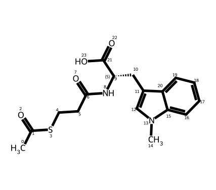 CC(=O)SCCC(=O)N[C@@H](Cc1cn(C)c2ccccc12)C(=O)O